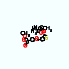 CCOC(=O)CC1(c2ccc(OCc3ccc4scc(B5OC(C)(C)C(C)(C)O5)c4c3)cc2)CC(=O)C1